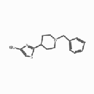 CC(C)(C)c1csc(C2CCN(Cc3ccccc3)CC2)n1